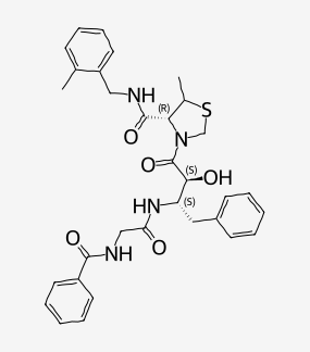 Cc1ccccc1CNC(=O)[C@@H]1C(C)SCN1C(=O)[C@@H](O)[C@H](Cc1ccccc1)NC(=O)CNC(=O)c1ccccc1